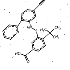 CC(C)(C)c1ccc(C(=O)O)cc1SNc1cc(C#N)ccc1-c1ccccn1